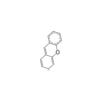 [C]1C=CC2=Cc3ccccc3OC2=C1